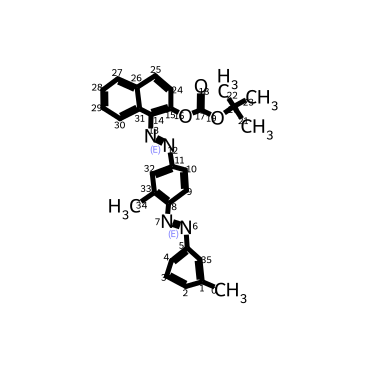 Cc1cccc(/N=N/c2ccc(/N=N/c3c(OC(=O)OC(C)(C)C)ccc4ccccc34)cc2C)c1